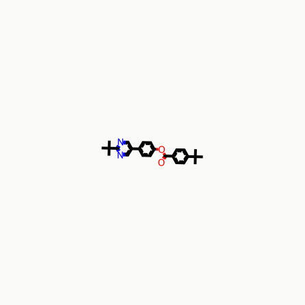 CC(C)(C)c1ccc(C(=O)Oc2ccc(-c3cnc(C(C)(C)C)nc3)cc2)cc1